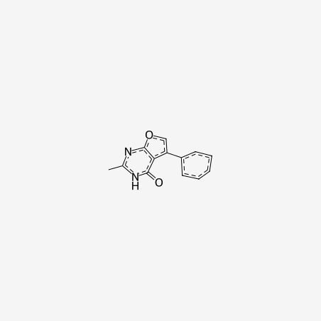 Cc1nc2occ(-c3ccccc3)c2c(=O)[nH]1